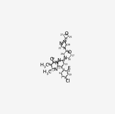 Cc1nc2c(-c3ccc(Cl)cc3F)cc(N3CCO[C@H](c4cnn(C5COC5)c4)C3)nn2c(=O)c1C